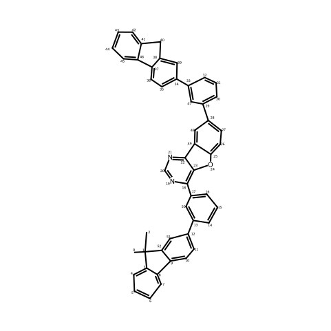 CC1(C)c2ccccc2-c2ccc(-c3cccc(-c4ncnc5c4oc4ccc(-c6cccc(-c7ccc8c(c7)Cc7ccccc7-8)c6)cc45)c3)cc21